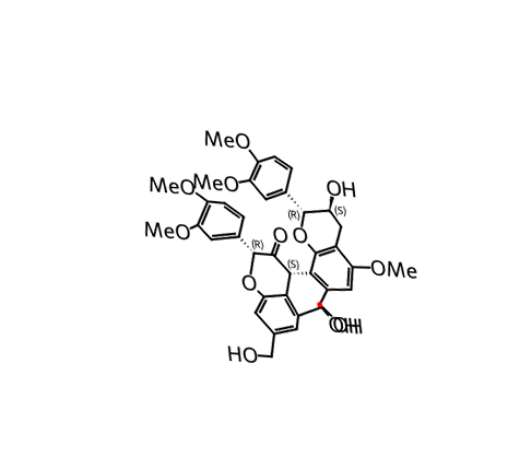 COc1ccc([C@H]2Oc3c(c(OC)cc(CO)c3[C@H]3C(=O)[C@@H](c4ccc(OC)c(OC)c4)Oc4cc(CO)cc(CO)c43)C[C@@H]2O)cc1OC